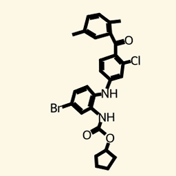 Cc1ccc(C)c(C(=O)c2ccc(Nc3ccc(Br)cc3NC(=O)OC3CCCC3)cc2Cl)c1